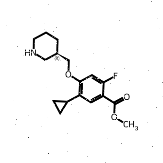 COC(=O)c1cc(C2CC2)c(OC[C@@H]2CCCNC2)cc1F